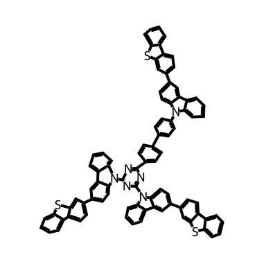 c1ccc2c(c1)sc1cc(-c3ccc4c(c3)c3ccccc3n4-c3ccc(-c4ccc(-c5nc(-n6c7ccccc7c7cc(-c8ccc9c(c8)sc8ccccc89)ccc76)nc(-n6c7ccccc7c7cc(-c8ccc9c(c8)sc8ccccc89)ccc76)n5)cc4)cc3)ccc12